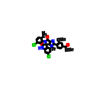 CNC(=O)c1ccc(-c2nc3c(n2C(C)C)[C@@]2(C(=O)Nc4cc(Cl)ccc42)N(c2cc(Cl)ccc2C)C3=O)c(OC)c1